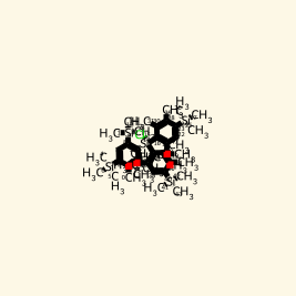 Cc1c([Si](C)(C)C)cc([Si](C)(C)C)c([Si](Cl)(c2c([Si](C)(C)C)cc([Si](C)(C)C)c(C)c2C)c2c([Si](C)(C)C)cc([Si](C)(C)C)c(C)c2C)c1C